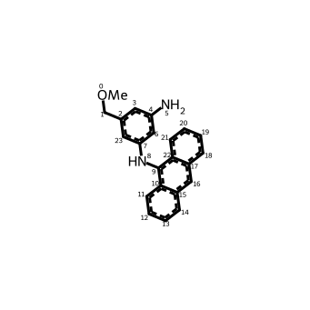 COCc1cc(N)cc(Nc2c3ccccc3cc3ccccc23)c1